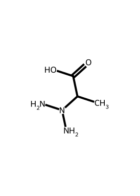 CC(C(=O)O)N(N)N